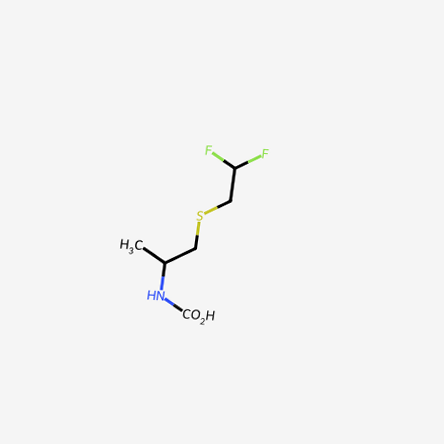 CC(CSCC(F)F)NC(=O)O